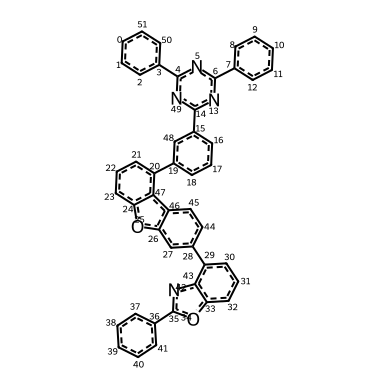 c1ccc(-c2nc(-c3ccccc3)nc(-c3cccc(-c4cccc5oc6cc(-c7cccc8oc(-c9ccccc9)nc78)ccc6c45)c3)n2)cc1